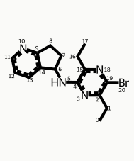 CCc1nc(NC2CCc3ncccc32)c(CC)nc1Br